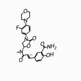 CN(C(=O)/C=C/c1ccc(O)c(C(N)=O)c1)C1CN(c2ccc(N3CCOCC3)c(F)c2)C(=O)O1